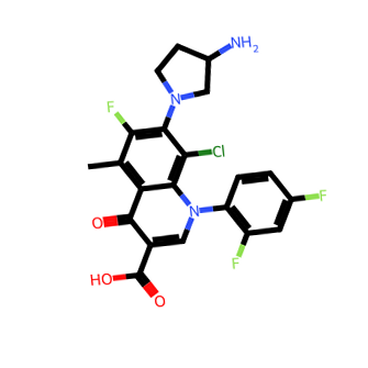 Cc1c(F)c(N2CCC(N)C2)c(Cl)c2c1c(=O)c(C(=O)O)cn2-c1ccc(F)cc1F